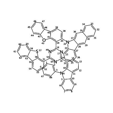 c1ccc(-n2c3ccccc3c3cccc(-c4nc(-c5c(-n6c7ccccc7c7cc8ccccc8cc76)ccc6c5oc5ccccc56)nc(-c5cccc6c5sc5ccccc56)n4)c32)cc1